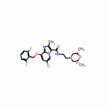 Cc1nc2c(OCc3c(F)cccc3F)cc(Cl)cn2c1C(=O)NCCN1C[C@@H](C)O[C@@H](C)C1